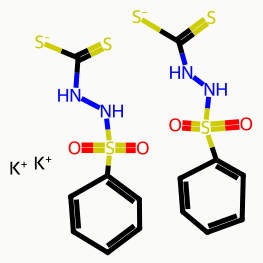 O=S(=O)(NNC(=S)[S-])c1ccccc1.O=S(=O)(NNC(=S)[S-])c1ccccc1.[K+].[K+]